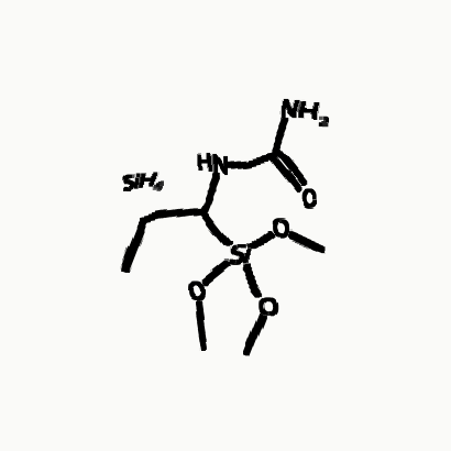 CCC(NC(N)=O)[Si](OC)(OC)OC.[SiH4]